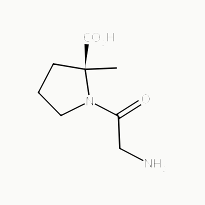 C[C@@]1(C(=O)O)CCCN1C(=O)CN